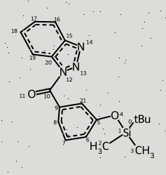 CC(C)(C)[Si](C)(C)Oc1cccc(C(=O)n2nnc3ccccc32)c1